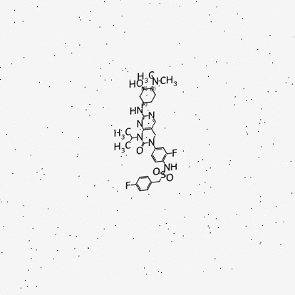 CC(C)N1C(=O)N(c2ccc(NS(=O)(=O)Cc3ccc(F)cc3)c(F)c2)Cc2cnc(N[C@@H]3CC[C@@H](N(C)C)[C@H](O)C3)nc21